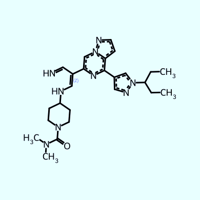 CCC(CC)n1cc(-c2nc(/C(C=N)=C/NC3CCN(C(=O)N(C)C)CC3)cn3nccc23)cn1